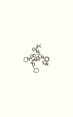 C[C@@H](OCC1CCCCC1)[C@@H](NC(=O)[C@@H]1CN(c2cccc3ncsc23)CC12CN(C(=O)[C@H]1CC1(C)C)C2)C(=O)N1CCCCC1